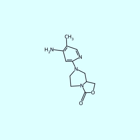 Cc1cnc(N2CCN3C(=O)OCC3C2)cc1N